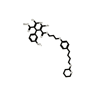 CCCC1=C(C(=O)OCCCOc2ccc(CCCCOC3CCCCO3)cc2)C(c2cccc([N+](=O)[O-])c2)C(C(=O)OC)=C(CC)N1